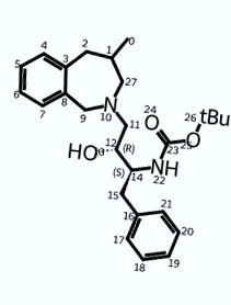 CC1Cc2ccccc2CN(C[C@@H](O)[C@H](Cc2ccccc2)NC(=O)OC(C)(C)C)C1